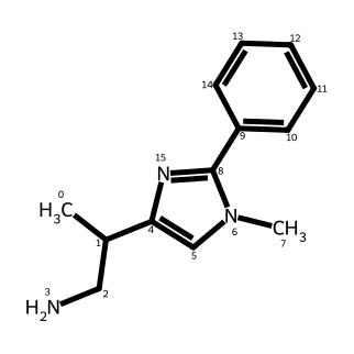 CC(CN)c1cn(C)c(-c2ccccc2)n1